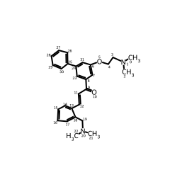 CN(C)CCOc1cc(C(=O)/C=C/c2ccccc2CN(C)C)cc(-c2ccccc2)c1